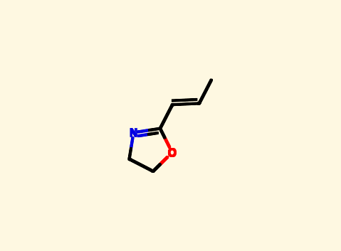 CC=CC1=NCCO1